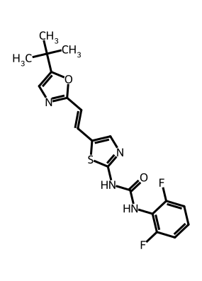 CC(C)(C)c1cnc(C=Cc2cnc(NC(=O)Nc3c(F)cccc3F)s2)o1